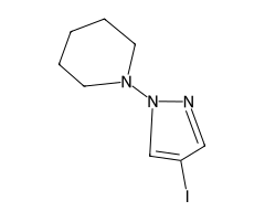 Ic1cnn(N2CCCCC2)c1